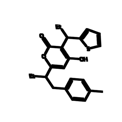 CCC(Cc1ccc(C)cc1)c1cc(O)c(C(CC)c2cccs2)c(=O)o1